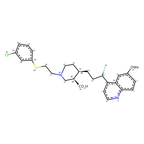 COc1ccc2nccc(C(F)CC[C@@H]3CCN(CCSc4cccc(Cl)c4)C[C@@H]3C(=O)O)c2c1